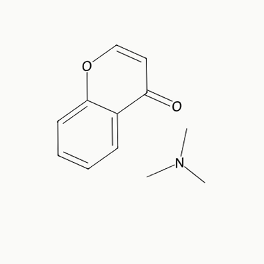 CN(C)C.O=c1ccoc2ccccc12